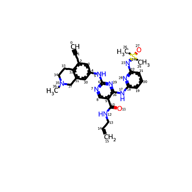 C#Cc1cc(Nc2ncc(C(=O)NCC=C)c(Nc3cccc(N=S(C)(C)=O)n3)n2)cc2c1CCN(C)C2